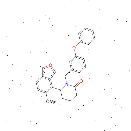 COc1ccc2cocc2c1C1CCCC(=O)N1Cc1cccc(Oc2ccccc2)c1